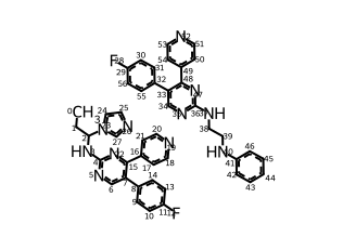 CCC(Nc1ncc(-c2ccc(F)cc2)c(-c2ccncc2)n1)n1ccnc1.Fc1ccc(-c2cnc(NCCNc3ccccc3)nc2-c2ccncc2)cc1